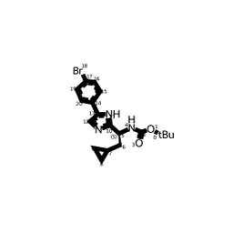 CC(C)(C)OC(=O)N[C@@H](CC1CC1)c1ncc(-c2ccc(Br)cc2)[nH]1